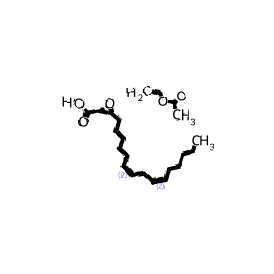 C=COC(C)=O.CCCCC/C=C\C/C=C\CCCCCC1OC1C(=O)O